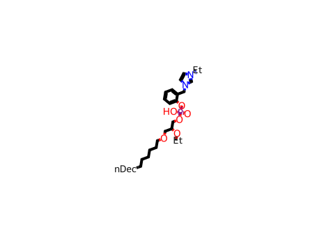 CCCCCCCCCCCCCCCCOCC(COP(=O)(O)Oc1ccccc1Cn1cc[n+](CC)c1)OCC